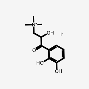 C[N+](C)(C)CC(O)C(=O)c1cccc(O)c1O.[I-]